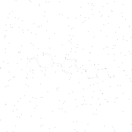 Cn1ccc2cc(-c3ccc(N4CC5CNCC5C4)nn3)ccc21